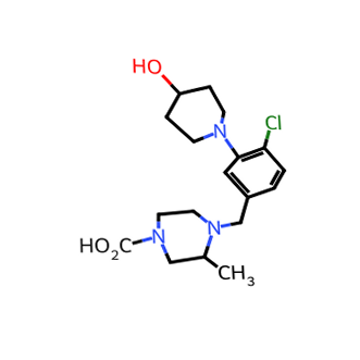 CC1CN(C(=O)O)CCN1Cc1ccc(Cl)c(N2CCC(O)CC2)c1